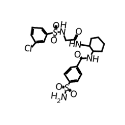 NS(=O)(=O)c1ccc(C(=O)NC2CCCCC2NC(=O)CNS(=O)(=O)c2cccc(Cl)c2)cc1